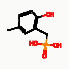 Cc1ccc(O)c(CP(=O)(O)O)c1